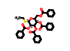 CCS[C@@H]1OC(COC(=O)c2ccccc2)[C@H](OC(=O)c2ccccc2)C(OC(=O)c2ccccc2)[C@@H]1OC(=O)c1ccccc1